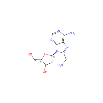 NCc1nc2c(N)ncnc2n1[C@H]1CC(O)[C@@H](CO)O1